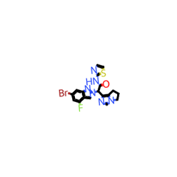 O=C(Nc1nccs1)C(c1ncn2c1CCC2)n1cc2c(F)cc(Br)cc2n1